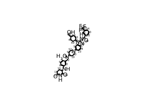 CN(Cc1cccc(NC2CCC(=O)NC2=O)c1)C1CCN(c2ccc3nc(NC(=O)c4cccc(C(F)(F)F)c4)n(C4CCC(CO)CC4)c3c2)CC1